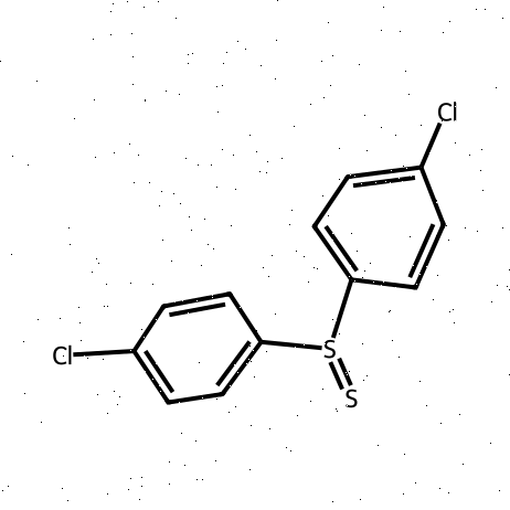 S=S(c1ccc(Cl)cc1)c1ccc(Cl)cc1